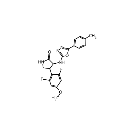 COc1cc(F)c(C2CNC(=O)C2Nc2nnc(-c3ccc(C)cc3)o2)c(F)c1